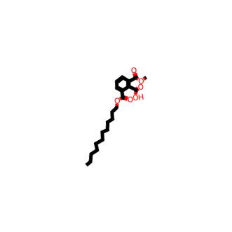 CCCCCCCCCCCCOC(=O)c1cccc(C(=O)OC)c1C(=O)O